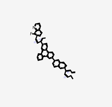 C=C/C=C(\C=C/CC)c1ccc2cc(-c3ccc4c5ccc(C(/C=C\c6ccc7cccnc7c6F)=C\C)cc5c5ccccc5c4c3)ccc2c1